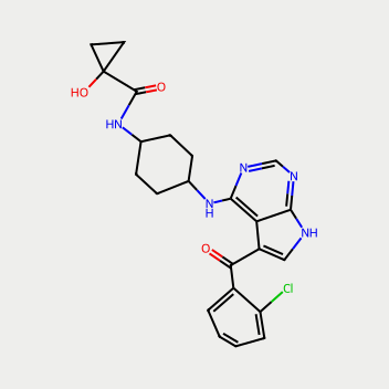 O=C(c1ccccc1Cl)c1c[nH]c2ncnc(NC3CCC(NC(=O)C4(O)CC4)CC3)c12